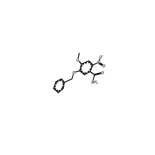 COc1cc([N+](=O)[O-])c(C(N)=O)cc1OCc1ccccc1